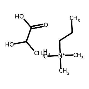 CC(O)C(=O)O.CCC[N+](C)(C)C